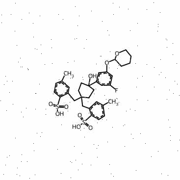 Cc1ccc(S(=O)(=O)O)c(CC2(Cc3cc(C)ccc3S(=O)(=O)O)CCC(O)(c3cc(F)cc(OC4CCCCO4)c3)CC2)c1